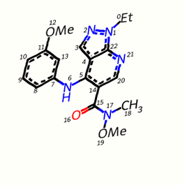 CCn1ncc2c(Nc3cccc(OC)c3)c(C(=O)N(C)OC)cnc21